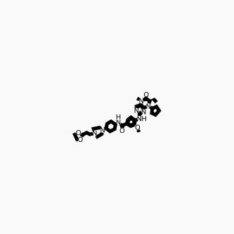 CC[C@@H]1C(=O)N(C)c2cnc(Nc3ccc(C(=O)NC4CCC(N5CCN(CCC6OCCO6)CC5)CC4)cc3OC)nc2N1C1CCCC1